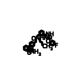 CCCCCN(Cc1cccc(C(=N)NC(=O)Oc2ccc(F)cc2)c1)C(=O)Cc1ccc(-c2ccccc2S(N)(=O)=O)cc1